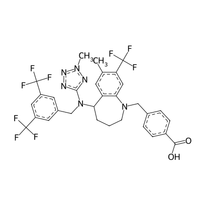 Cc1cc2c(cc1C(F)(F)F)N(Cc1ccc(C(=O)O)cc1)CCCC2N(Cc1cc(C(F)(F)F)cc(C(F)(F)F)c1)c1nnn(C)n1